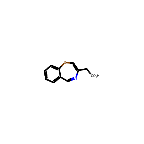 O=C(O)CC1=CSc2ccccc2C=N1